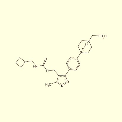 Cc1noc(-c2ccc(C34CCC(CC(=O)O)(CC3)OC4)cc2)c1COC(=O)NCC1CCC1